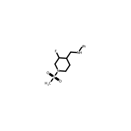 CC(C)NCC1CCN(S(C)(=O)=O)CC1F